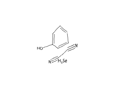 N#CC#N.Oc1ccccc1.[SeH2]